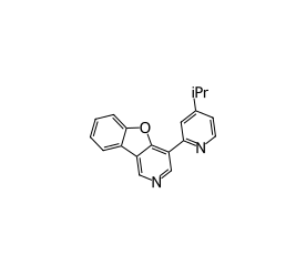 CC(C)c1ccnc(-c2cncc3c2oc2ccccc23)c1